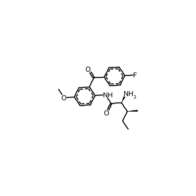 CC[C@H](C)[C@H](N)C(=O)Nc1ccc(OC)cc1C(=O)c1ccc(F)cc1